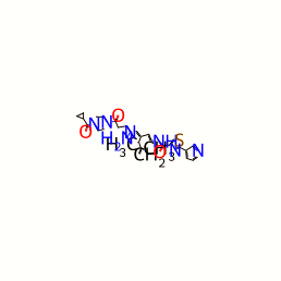 C=CC(C)C(/C=C(\C)NC(=O)c1csc(-c2cccnc2)n1)=C\N(N)CCC(=O)N1CCN(C(=O)C2CC2)CC1